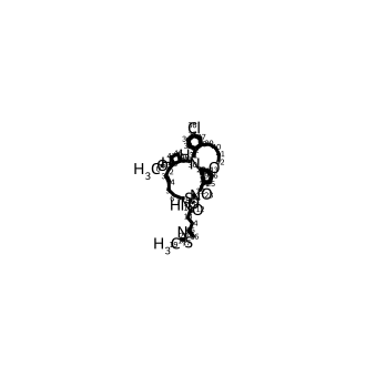 CO[C@H]1/C=C/CCCS(=O)(NC(=O)CCc2csc(C)n2)=NC(=O)c2ccc3c(c2)N(Cc2ccc(Cl)cc2CCCCO3)C[C@@H]2CC[C@H]21